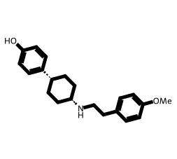 COc1ccc(CCN[C@H]2CC[C@@H](c3ccc(O)cc3)CC2)cc1